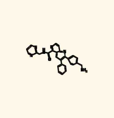 NCc1ccc(-c2nc3ccnc(C(=O)NCc4ncccn4)c3cc2-c2ccccc2)cc1